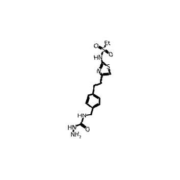 CCS(=O)(=O)Nc1nc(CCc2ccc(CNC(=O)NN)cc2)cs1